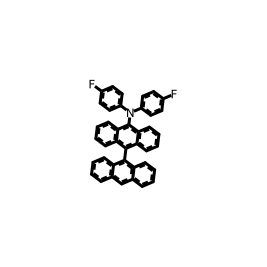 Fc1ccc(N(c2ccc(F)cc2)c2c3ccccc3c(-c3c4ccccc4cc4ccccc34)c3ccccc23)cc1